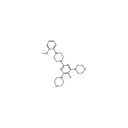 COc1ccccc1N1CCN(c2nc(N3CCOCC3)c(F)c(N3CCOCC3)n2)CC1